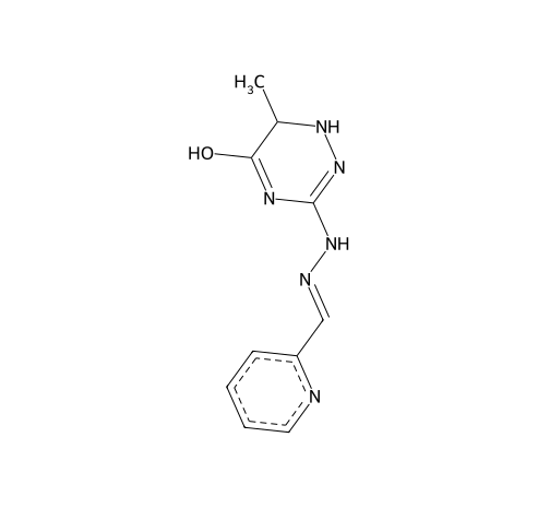 CC1NN=C(N/N=C/c2ccccn2)N=C1O